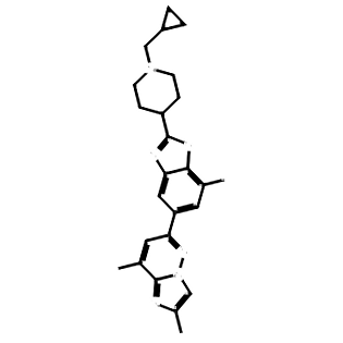 Cc1cn2nc(-c3cc(F)c4[nH]c(C5CCN(CC6CC6)CC5)nc4c3)cc(C)c2n1